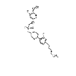 C/C=C/CCc1ccc(C2CCC(CC(F)(F)COc3ccc(OCC)c(F)c3)CC2)c(F)c1